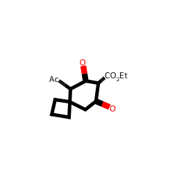 CCOC(=O)C1C(=O)CC2(CCC2)C(C(C)=O)C1=O